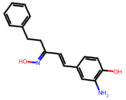 Nc1cc(/C=C/C(CCc2ccccc2)=NO)ccc1O